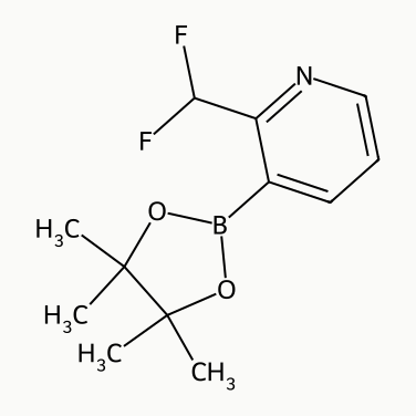 CC1(C)OB(c2cccnc2C(F)F)OC1(C)C